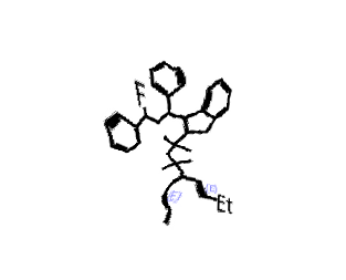 C/C=C/C(/C=C/CC)C(C)(C)CC(C)(C)C1Cc2ccccc2C1C(CC(F)c1ccccc1)c1ccccc1